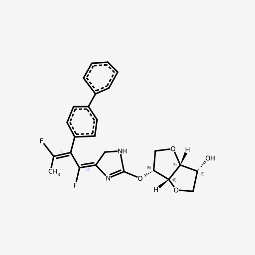 C/C(F)=C(\C(F)=C1/CNC(O[C@@H]2CO[C@H]3[C@@H]2OC[C@H]3O)=N1)c1ccc(-c2ccccc2)cc1